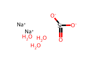 O.O.O.O=[Si]([O-])[O-].[Na+].[Na+]